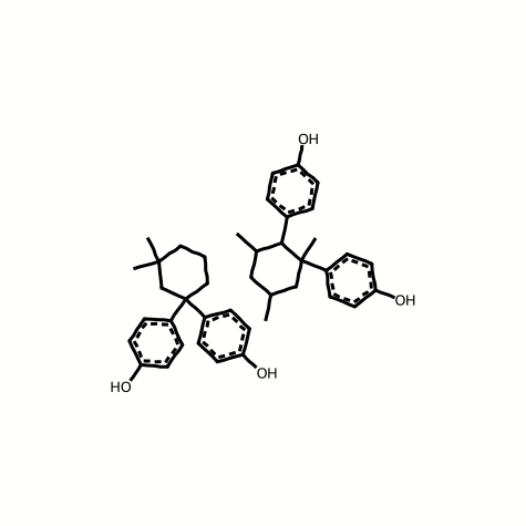 CC1(C)CCCC(c2ccc(O)cc2)(c2ccc(O)cc2)C1.CC1CC(C)C(c2ccc(O)cc2)C(C)(c2ccc(O)cc2)C1